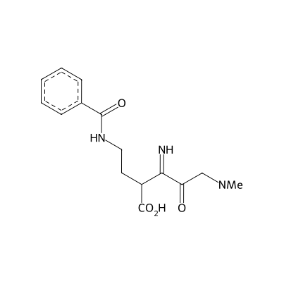 CNCC(=O)C(=N)C(CCNC(=O)c1ccccc1)C(=O)O